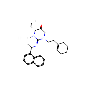 CC(C)C[C@H]1C(=O)CN(CCC2=CCCCC2)C(=NC(C)c2cccc3ccccc23)N1C(=O)O